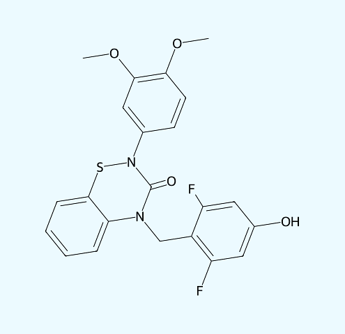 COc1ccc(N2Sc3ccccc3N(Cc3c(F)cc(O)cc3F)C2=O)cc1OC